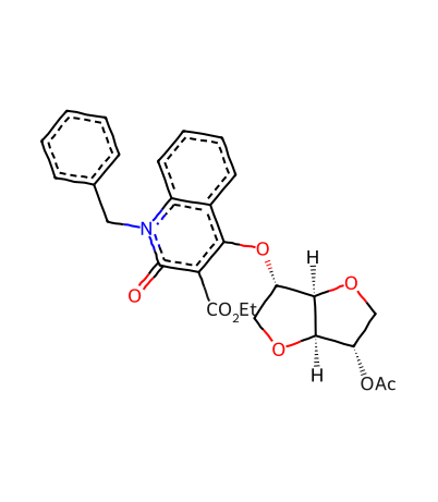 CCOC(=O)c1c(O[C@H]2CO[C@H]3[C@@H]2OC[C@@H]3OC(C)=O)c2ccccc2n(Cc2ccccc2)c1=O